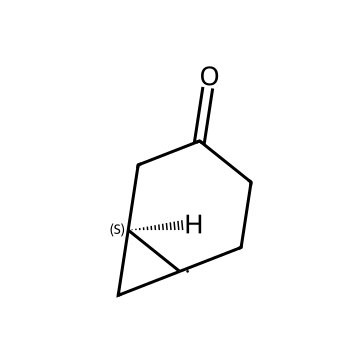 O=C1CC[C]2C[C@H]2C1